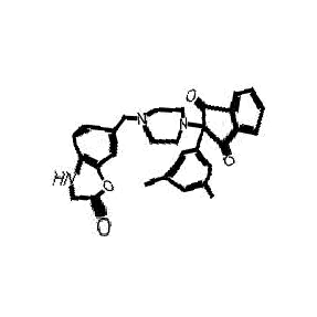 Cc1cc(C)cc(C2(N3CCN(Cc4ccc5c(c4)OC(=O)CN5)CC3)C(=O)c3ccccc3C2=O)c1